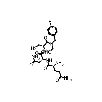 NC(=O)CC[C@H](N)C(=O)N[C@@H](CC(N)=O)C(=O)N[C@@H](CS)C(=O)N(C[C]=O)Cc1ccc(F)cc1